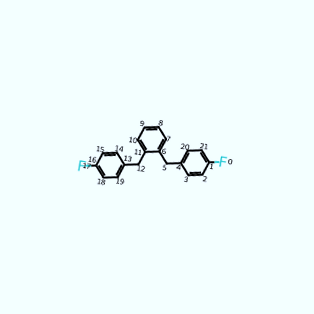 Fc1ccc(Cc2ccccc2Cc2ccc(F)cc2)cc1